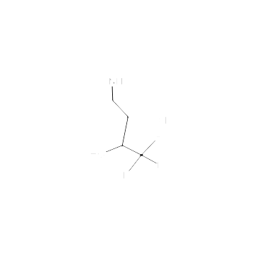 Cl.NC[CH]C(O)C(F)(F)F